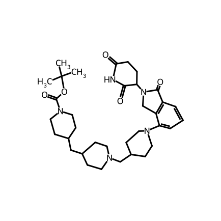 CC(C)(C)OC(=O)N1CCC(CC2CCN(CC3CCN(c4cccc5c4CN(C4CCC(=O)NC4=O)C5=O)CC3)CC2)CC1